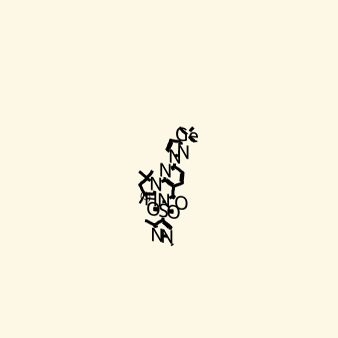 Cc1nn(C)cc1S(=O)(=O)NC(=O)c1ccc(-n2cc[c]([Ge]([CH3])([CH3])[CH3])n2)nc1N1C[C@@H](C)CC1(C)C